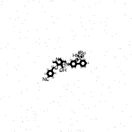 Cc1ncc(CNc2ccc(-c3ccccc3S(=O)(=O)NC(C)(C)C)cc2)c(CO)c1OCc1ccc(C#N)cc1